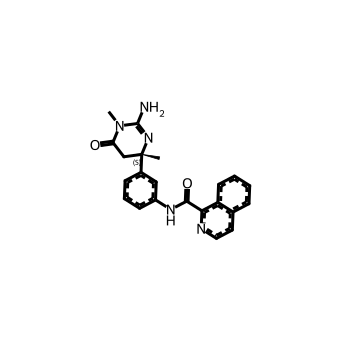 CN1C(=O)C[C@@](C)(c2cccc(NC(=O)c3nccc4ccccc34)c2)N=C1N